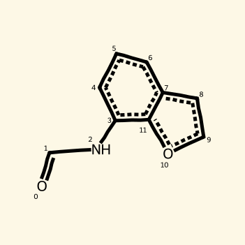 O=CNc1cccc2ccoc12